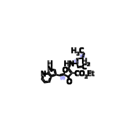 C=C/C(=C\C=C/C)NC1=C(C(=O)OCC)C(=O)/C(=C/c2c[nH]c3ncccc23)O1